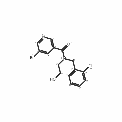 O=C(c1cncc(Br)c1)N(CCO)Cc1ccccc1Cl